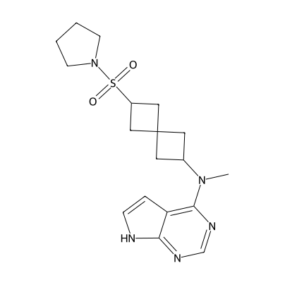 CN(c1ncnc2[nH]ccc12)C1CC2(C1)CC(S(=O)(=O)N1CCCC1)C2